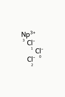 [Cl-].[Cl-].[Cl-].[Np+3]